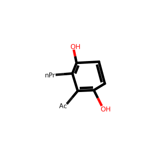 CCCc1c(O)ccc(O)c1C(C)=O